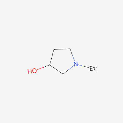 C[CH]N1CCC(O)C1